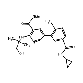 CNC(=O)c1cc(-c2cc(C(=O)NC3CC3)ccc2C)cnc1NC(C)(C)CO